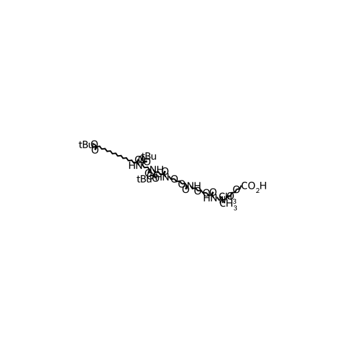 CC(C)(C)OC(=O)CCCCCCCCCCCCCCC(=O)NC(CCC(=O)NC(CCC(=O)NCCOCCOCC(=O)NCCOCCOCC(=O)NCC[N+](C)(C)CCOCCOCCC(=O)O)C(=O)OC(C)(C)C)C(=O)OC(C)(C)C